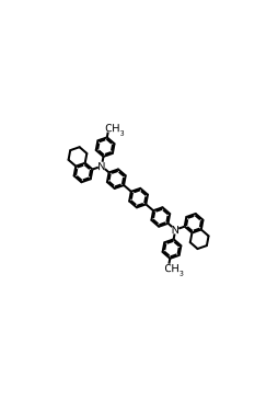 Cc1ccc(N(c2ccc(-c3ccc(-c4ccc(N(c5ccc(C)cc5)c5cccc6c5CCCC6)cc4)cc3)cc2)c2cccc3c2CCCC3)cc1